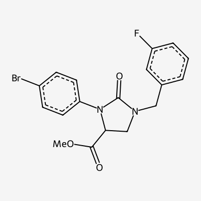 COC(=O)C1CN(Cc2cccc(F)c2)C(=O)N1c1ccc(Br)cc1